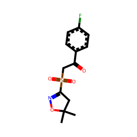 CC1(C)CC(S(=O)(=O)CC(=O)c2ccc(F)cc2)=NO1